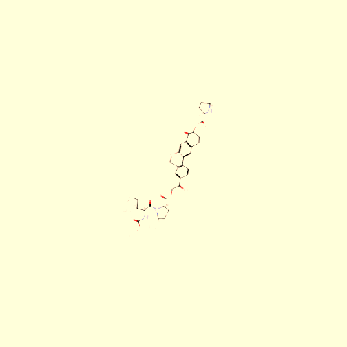 CC[C@H](C)[C@H](NC(=O)OC)C(=O)N1[C@@H](C)CC[C@H]1C(=O)OCC(=O)c1ccc2c(c1)COc1cc3c(cc1-2)CCC(OC(=O)[C@@H]1CC[C@H](C)N1)C3=O